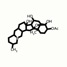 CC(=O)OC1CCC2(C)C3CC(O)C4C5(O)CCC6CC7CCC(C)CN7CC6C5CC42OC13O